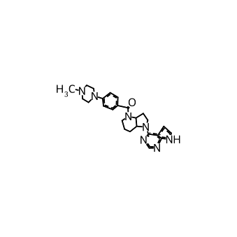 CN1CCN(c2ccc(C(=O)N3CCCC4C3CCN4c3ncnc4[nH]ccc34)cc2)CC1